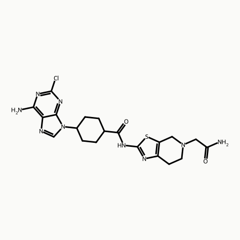 NC(=O)CN1CCc2nc(NC(=O)C3CCC(n4cnc5c(N)nc(Cl)nc54)CC3)sc2C1